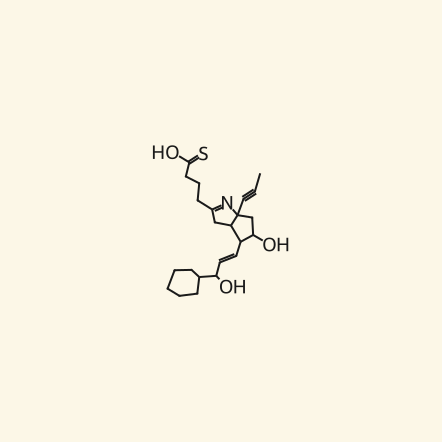 CC#CC12CC(O)C(C=CC(O)C3CCCCC3)C1CC(CCCC(O)=S)=N2